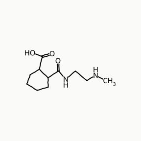 CNCCNC(=O)C1CCCCC1C(=O)O